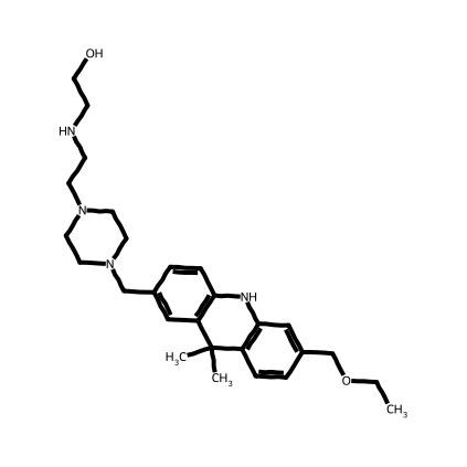 CCOCc1ccc2c(c1)Nc1ccc(CN3CCN(CCNCCO)CC3)cc1C2(C)C